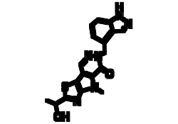 CC(O)c1nc2c(s1)c1cnn(Cc3cccc4[nH]ncc34)c(=O)c1n2C